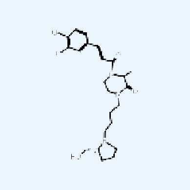 CC1C(=O)N(CCCCN2CCC[C@@H]2CO)CCN1C(=O)C=Cc1ccc(Cl)c(Cl)c1